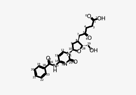 O=C(O)CCC(=O)C[C@@H]1C[C@H](n2ccc(NC(=O)c3ccccc3)nc2=O)O[C@H]1CO